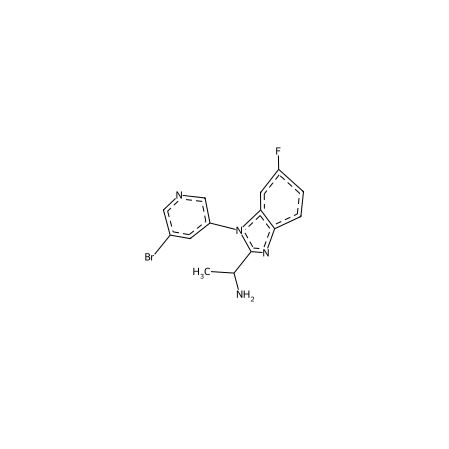 CC(N)c1nc2ccc(F)cc2n1-c1cncc(Br)c1